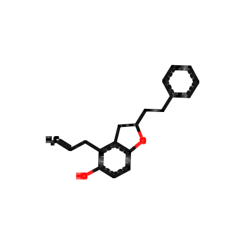 C=CCc1c(O)ccc2c1CC(CCc1ccccc1)O2